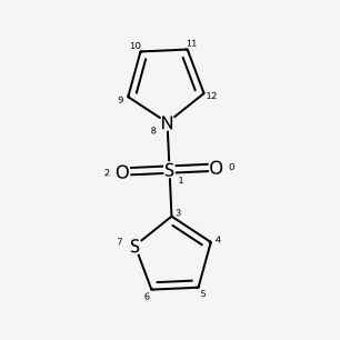 O=S(=O)(c1cccs1)n1cccc1